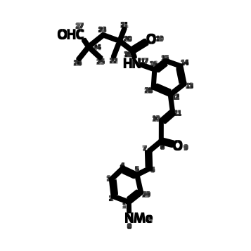 CNc1cccc(/C=C/C(=O)/C=C/c2cccc(NC(=O)C(C)(C)CC(C)(C)C=O)c2)c1